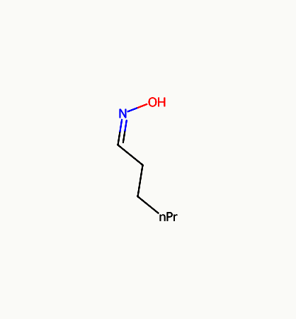 [CH2]CCCC/C=N\O